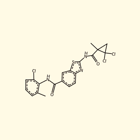 Cc1cccc(Cl)c1NC(=O)c1ccc2nc(NC(=O)C3(C)CC3(Cl)Cl)sc2c1